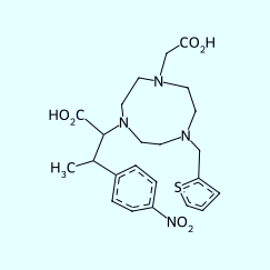 CC(c1ccc([N+](=O)[O-])cc1)C(C(=O)O)N1CCN(CC(=O)O)CCN(Cc2cccs2)CC1